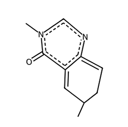 CC1C=c2c(ncn(C)c2=O)=CC1